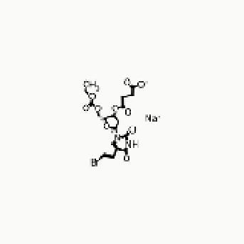 CCOC(=O)OC[C@H]1O[C@@H](n2cc(C=CBr)c(=O)[nH]c2=O)C[C@@H]1OC(=O)CCC(=O)[O-].[Na+]